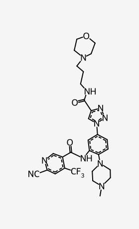 CN1CCN(c2ccc(-n3cc(C(=O)NCCCN4CCOCC4)nn3)cc2NC(=O)c2cnc(C#N)cc2C(F)(F)F)CC1